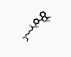 CCN(C)CCCCC(=O)Nc1cccc(-c2n[nH]c(=O)c3ccccc23)c1